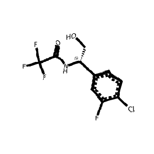 O=C(N[C@H](CO)c1ccc(Cl)c(F)c1)C(F)(F)F